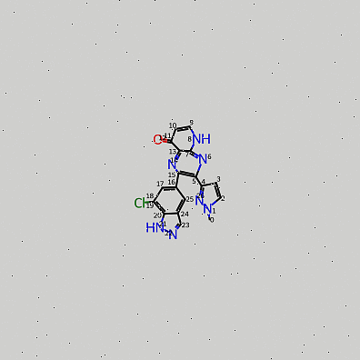 Cn1ccc(-c2nc3[nH]ccc(=O)c3nc2-c2cc(Cl)c3[nH]ncc3c2)n1